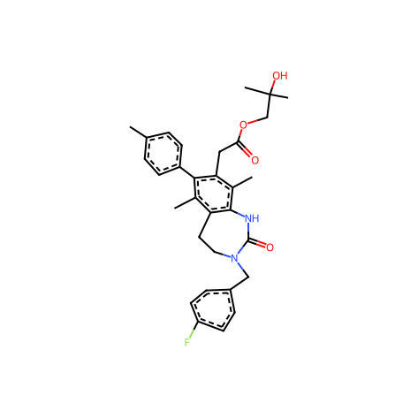 Cc1ccc(-c2c(C)c3c(c(C)c2CC(=O)OCC(C)(C)O)NC(=O)N(Cc2ccc(F)cc2)CC3)cc1